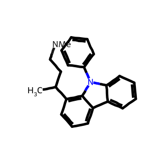 CNCCC(C)c1cccc2c3ccccc3n(-c3ccccc3)c12